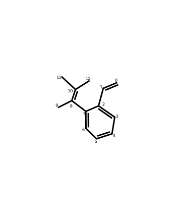 C=Cc1ccccc1C(C)=C(C)C